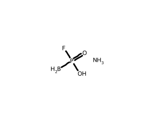 BP(=O)(O)F.N